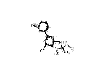 CCOC(C)(Nc1cc(Cl)nc(-c2cccc(Cl)c2)n1)OCC